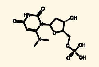 CN(C)c1cc(=O)[nH]c(=O)n1[C@H]1C[C@H](O)[C@@H](COP(=O)(O)O)O1